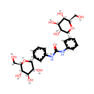 O=C(Nc1cccc([C@H]2O[C@H](CO)[C@@H](O)[C@H](O)[C@H]2O)c1)Nc1cccc([C@H]2O[C@H](CO)[C@@H](O)[C@H](O)[C@H]2O)c1